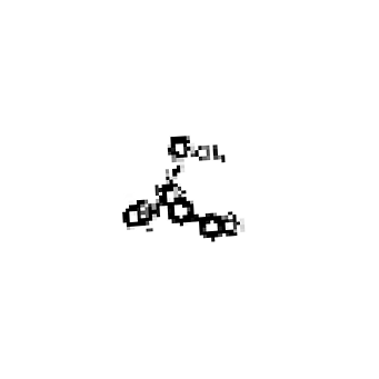 CN1CCC[C@H]1COc1nc(N2C[C@H]3CC[C@@H](C2)N3)c2ccc(-c3ccc4cn[nH]c4c3)cc2n1